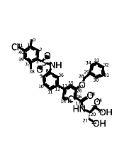 Cc1cc(S(=O)(=O)Nc2cccc(-c3ccc(C(=O)N[C@@H](CO)C(=O)O)c(OCc4ccccc4)c3)c2)c(C)cc1Cl